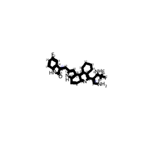 N=C(/C(=C\N)c1nc2ccc3[nH]c(/C=C4\C(=O)Nc5ccc(F)cc54)cc3c2c2c1CCCC2)C(F)(F)F